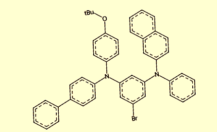 CC(C)(C)Oc1ccc(N(c2ccc(-c3ccccc3)cc2)c2cc(Br)cc(N(c3ccccc3)c3ccc4ccccc4c3)c2)cc1